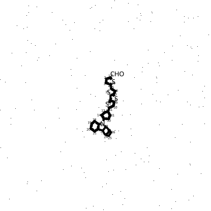 O=Cc1ccc(-c2cc3sc4cc(-c5ccc(N6c7ccccc7C7C8CCC(C8)C76)cc5)sc4c3s2)s1